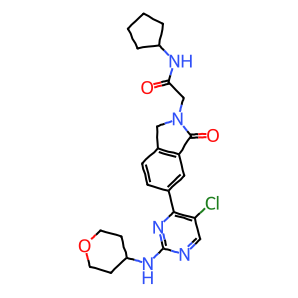 O=C(CN1Cc2ccc(-c3nc(NC4CCOCC4)ncc3Cl)cc2C1=O)NC1CCCC1